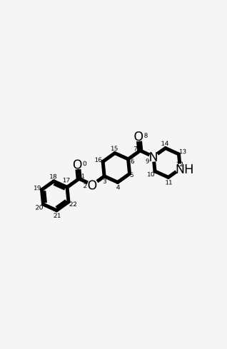 O=C(OC1CCC(C(=O)N2CCNCC2)CC1)c1ccccc1